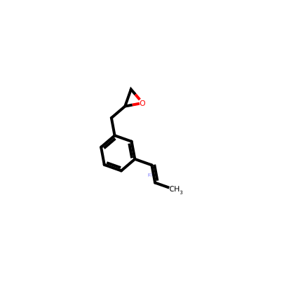 C/C=C/c1cccc(CC2CO2)c1